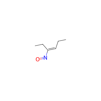 CC/C=C(\CC)N=O